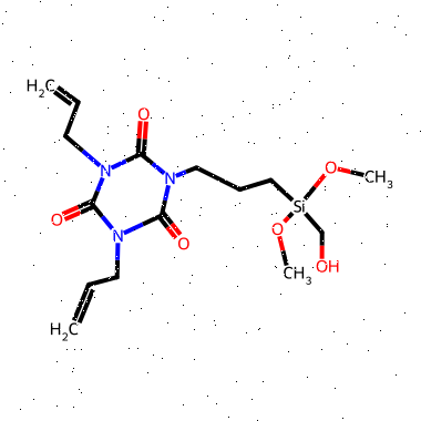 C=CCn1c(=O)n(CC=C)c(=O)n(CCC[Si](CO)(OC)OC)c1=O